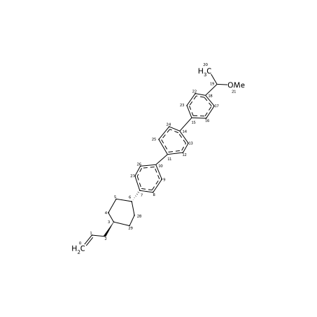 C=CC[C@H]1CC[C@H](c2ccc(-c3ccc(-c4ccc(C(C)OC)cc4)cc3)cc2)CC1